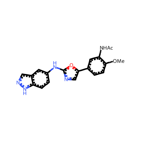 COc1ccc(-c2cnc(Nc3ccc4[nH]ncc4c3)o2)cc1NC(C)=O